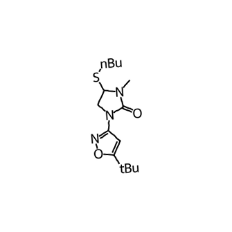 CCCCSC1CN(c2cc(C(C)(C)C)on2)C(=O)N1C